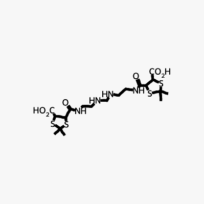 CC1(C)SC(C(=O)O)C(C(=O)NCCNCNCCNC(=O)C2SC(C)(C)SC2C(=O)O)S1